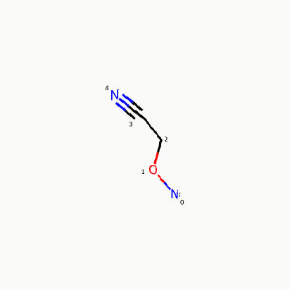 [N]OCC#N